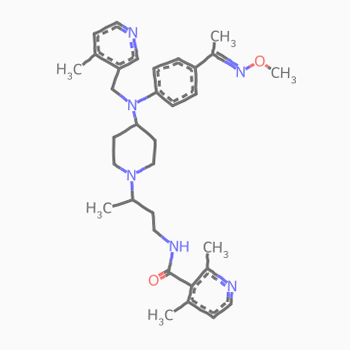 CON=C(C)c1ccc(N(Cc2cnccc2C)C2CCN(C(C)CCNC(=O)c3c(C)ccnc3C)CC2)cc1